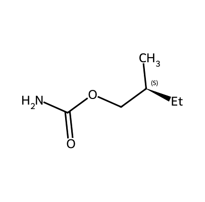 CC[C@H](C)COC(N)=O